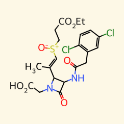 CCOC(=O)CC[S+]([O-])C=C(C)C1C(NC(=O)Cc2cc(Cl)ccc2Cl)C(=O)N1CC(=O)O